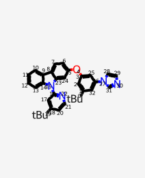 CC(C)(C)c1cc(Oc2ccc3c4ccccc4n(-c4cc(C(C)(C)C)ccn4)c3c2)cc(-n2ccnc2)c1